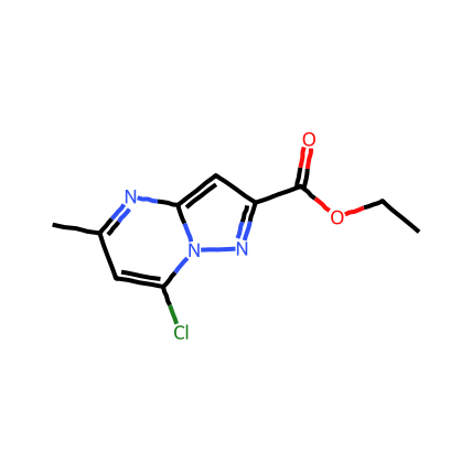 CCOC(=O)c1cc2nc(C)cc(Cl)n2n1